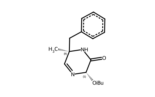 CC(C)CO[C@@H]1N=C[C@@](C)(Cc2ccccc2)NC1=O